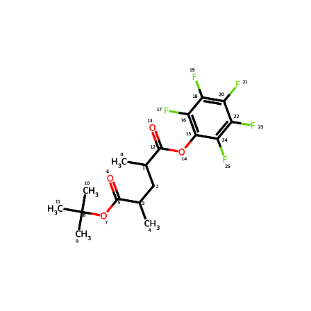 CC(CC(C)C(=O)OC(C)(C)C)C(=O)Oc1c(F)c(F)c(F)c(F)c1F